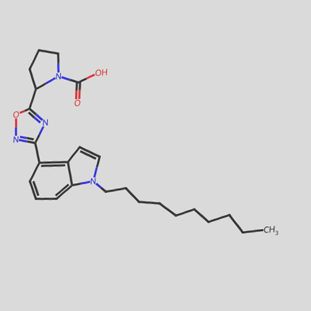 CCCCCCCCCCn1ccc2c(-c3noc(C4CCCN4C(=O)O)n3)cccc21